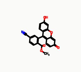 COC(=O)c1ccc(C#N)cc1-c1c2ccc(=O)cc-2oc2cc(O)ccc12